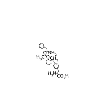 CC(OC(N)Cc1ccccc1)OC1CCCCC1(C)Cc1ccc(CC(N)C(=O)O)cc1